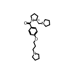 O=C(c1ccc(OCCCN2CCCC2)cc1)N1CCC[C@H]1CN1CCCC1